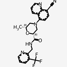 C[C@@H]1CN(c2ccc(C#N)c3ncccc23)C[C@H](C(=O)NCc2ncccc2C(F)(F)F)O1